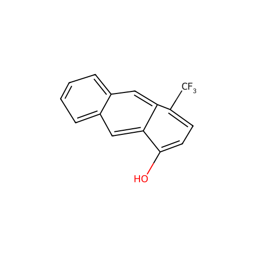 Oc1ccc(C(F)(F)F)c2cc3ccccc3cc12